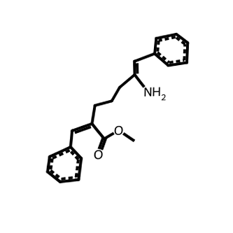 COC(=O)C(=Cc1ccccc1)CCCC(N)=Cc1ccccc1